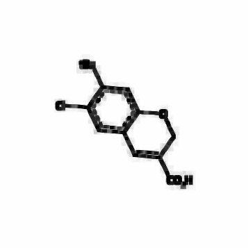 CC(C)(C)c1cc2c(cc1Cl)C=C(C(=O)O)CO2